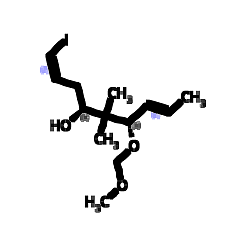 C/C=C/[C@H](OCOC)C(C)(C)[C@@H](O)C/C=C\I